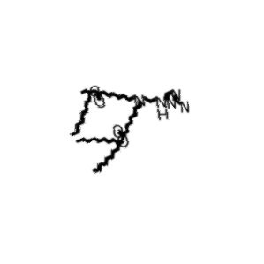 CCCCCCCCC(CC)OC(=O)CCCCCCCN(CCCCCCCC(=O)OC(CCCCCCCC)CCCCCCCC)CCCNc1ccnc(C#N)n1